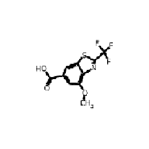 COc1cc(C(=O)O)cc2sc(C(F)(F)F)nc12